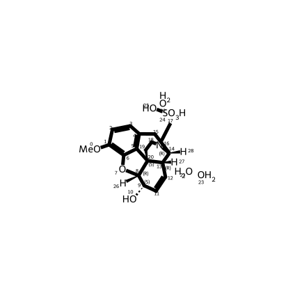 COc1ccc2c3c1O[C@H]1[C@@H](O)C=C[C@H]4[C@@H](C2)N(C)CC[C@@]341.O.O.O.O=S(=O)(O)O